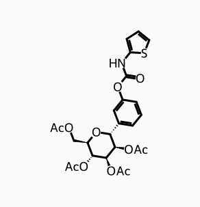 CC(=O)OC[C@H]1O[C@H](c2cccc(OC(=O)Nc3cccs3)c2)[C@@H](OC(C)=O)[C@@H](OC(C)=O)[C@@H]1OC(C)=O